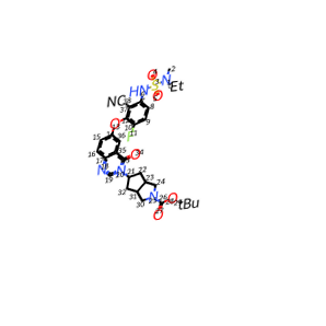 CCN(C)S(=O)(=O)Nc1ccc(F)c(Oc2ccc3ncn(C4CC5CN(C(=O)OC(C)(C)C)CC5C4)c(=O)c3c2)c1C#N